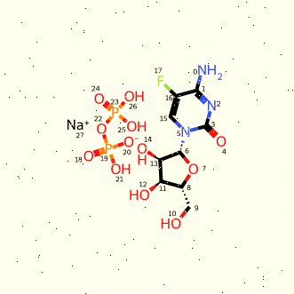 Nc1nc(=O)n([C@@H]2O[C@H](CO)[C@@H](O)[C@H]2O)cc1F.O=P([O-])(O)OP(=O)(O)O.[Na+]